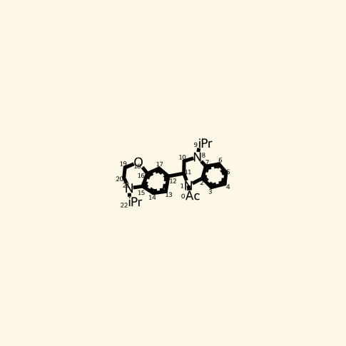 CC(=O)N1c2ccccc2N(C(C)C)CC1c1ccc2c(c1)OCCN2C(C)C